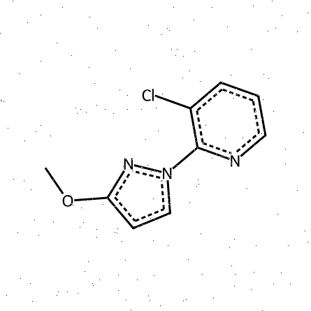 COc1ccn(-c2ncccc2Cl)n1